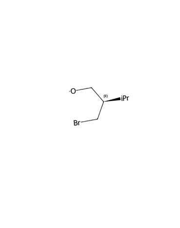 CC(C)[C@H](C[O])CBr